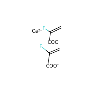 C=C(F)C(=O)[O-].C=C(F)C(=O)[O-].[Ca+2]